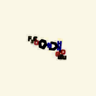 CC(C)(C)OC(=O)NC1CCN(c2ccc(OC(F)(F)F)cc2)CC1